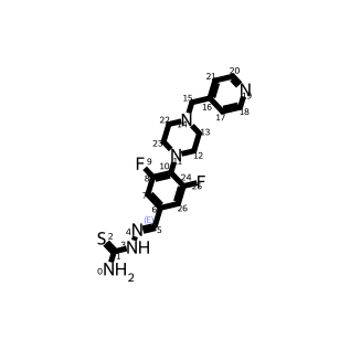 NC(=S)N/N=C/c1cc(F)c(N2CCN(Cc3ccncc3)CC2)c(F)c1